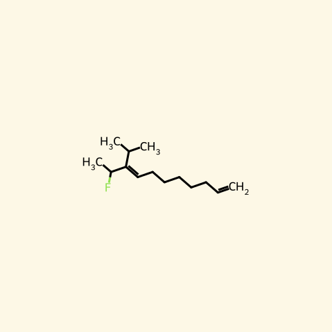 C=CCCCCC/C=C(\C(C)C)C(C)F